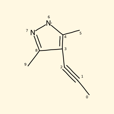 CC#CC1=C(C)[N]N=C1C